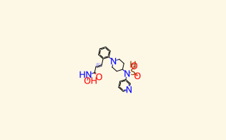 O=C(/C=C/c1ccccc1N1CCC(N(c2cccnc2)[SH](=O)=O)CC1)NO